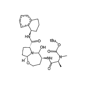 C[C@@H](C(=O)N[C@H]1CCO[C@H]2CC[C@H](C(=O)N[C@@H]3CCCc4ccccc43)N2C1O)N(C)C(=O)OC(C)(C)C